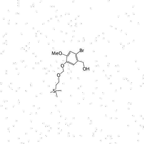 COc1cc(Br)c(CO)cc1OCOCC[Si](C)(C)C